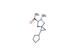 CC(C)(C)C(=O)[C@@H]1C[C@]2(CC2C2CCCC2)CN1C(C)(C)C